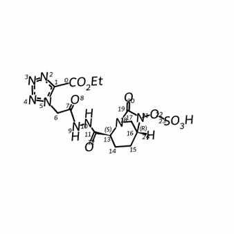 CCOC(=O)c1nnnn1CC(=O)NNC(=O)[C@@H]1CC[C@@H]2CN1C(=O)N2OS(=O)(=O)O